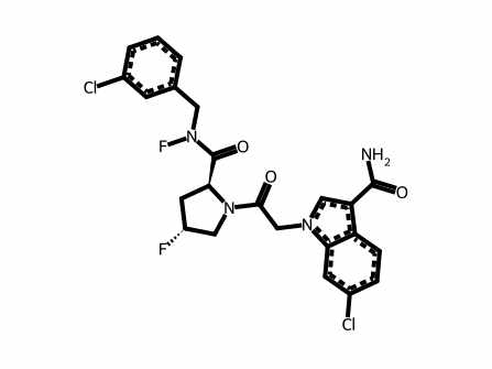 NC(=O)c1cn(CC(=O)N2C[C@H](F)C[C@H]2C(=O)N(F)Cc2cccc(Cl)c2)c2cc(Cl)ccc12